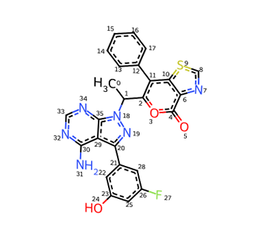 CC(c1oc(=O)c2ncsc2c1-c1ccccc1)n1nc(-c2cc(O)cc(F)c2)c2c(N)ncnc21